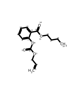 C=CCOC(=O)Oc1ccccc1C(=O)OCCCC